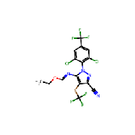 CCOC=Nc1c(SC(F)(F)F)c(C#N)nn1-c1c(Cl)cc(C(F)(F)F)cc1Cl